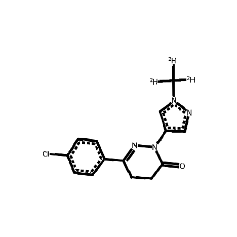 [2H]C([2H])([2H])n1cc(N2N=C(c3ccc(Cl)cc3)CCC2=O)cn1